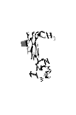 COc1nc(-c2cnc(SC)nc2)nc(F)c1C(F)(F)F